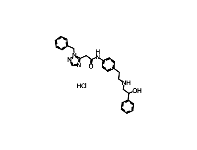 Cl.O=C(Cc1ncnn1Cc1ccccc1)Nc1ccc(CCNCC(O)c2ccccc2)cc1